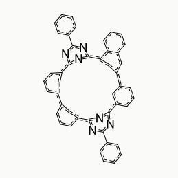 c1ccc(-c2nc3nc(n2)c2cccc(c2)c2cc4ccccc4c(c2)c2nc(-c4ccccc4)nc(n2)c2cccc(c2)c2cccc3c2)cc1